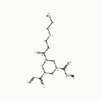 C=CC(=O)N1CN(C(=O)C=C)CN(C(=O)CCSCCO)C1